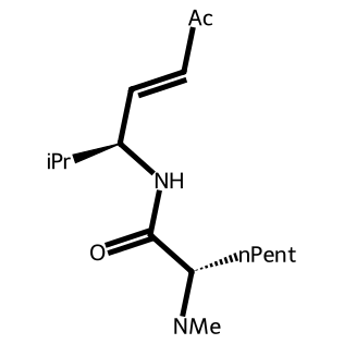 CCCCC[C@H](NC)C(=O)N[C@H](/C=C/C(C)=O)C(C)C